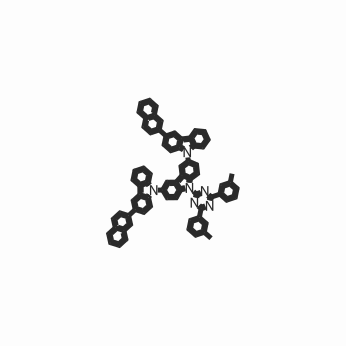 Cc1cccc(-c2nc(-c3cccc(C)c3)nc(-n3c4ccc(-n5c6ccccc6c6cc(-c7ccc8ccccc8c7)ccc65)cc4c4cc(-n5c6ccccc6c6cc(-c7ccc8ccccc8c7)ccc65)ccc43)n2)c1